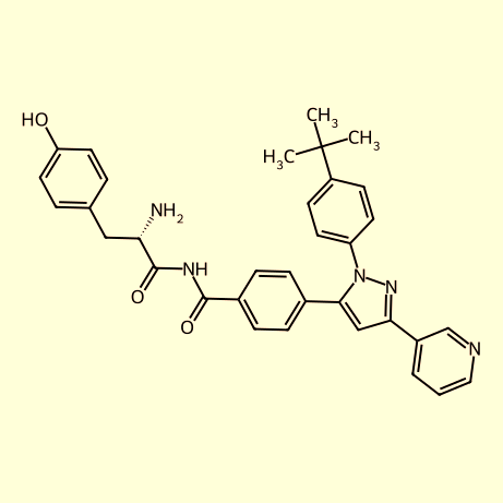 CC(C)(C)c1ccc(-n2nc(-c3cccnc3)cc2-c2ccc(C(=O)NC(=O)[C@@H](N)Cc3ccc(O)cc3)cc2)cc1